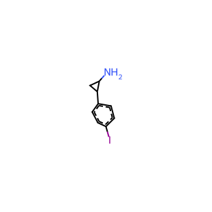 NC1CC1c1ccc(I)cc1